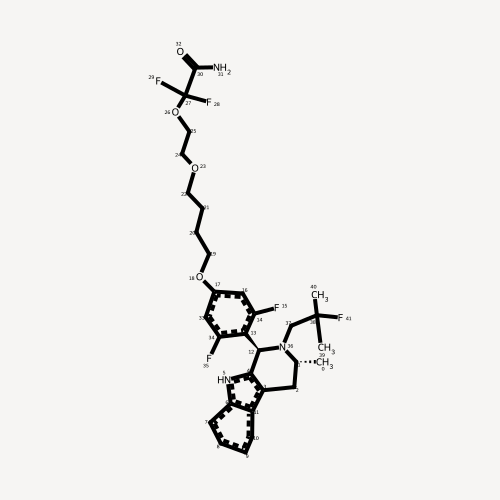 C[C@@H]1Cc2c([nH]c3ccccc23)[C@@H](c2c(F)cc(OCCCCOCCOC(F)(F)C(N)=O)cc2F)N1CC(C)(C)F